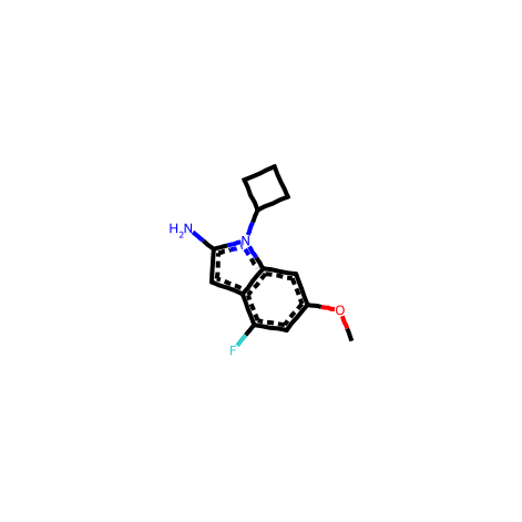 COc1cc(F)c2cc(N)n(C3CCC3)c2c1